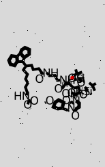 COC(=O)NCCCCCCC(CCCC(=O)NCCCN[C@H](C(=O)O)[C@@H](O)C1O[C@@H](n2ccc(=O)n(Cc3ccc(OC)cc3)c2=O)[C@H](O[Si](C)(C)C(C)(C)C)[C@@H]1O[Si](C)(C)C(C)(C)C)C1c2ccccc2-c2ccccc21